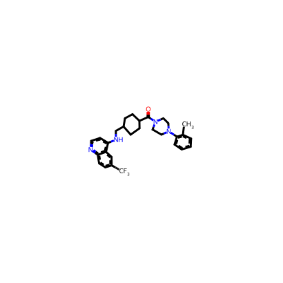 Cc1ccccc1N1CCN(C(=O)C2CCC(CNc3ccnc4ccc(C(F)(F)F)cc34)CC2)CC1